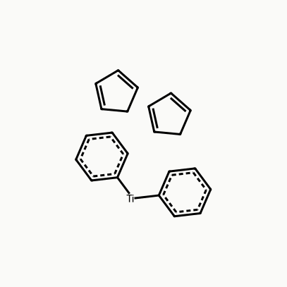 C1=CCC=C1.C1=CCC=C1.c1cc[c]([Ti][c]2ccccc2)cc1